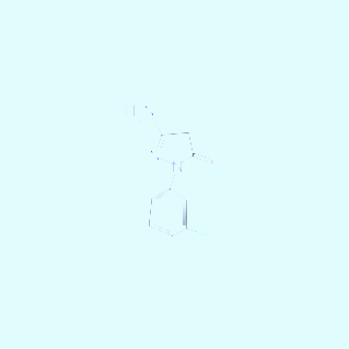 NC1=NN(c2cccc(Cl)c2)C(=O)C1